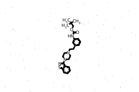 CC(C)(C)COC(=O)Nc1cccc(CCN2CCN(c3nsc4ccccc34)CC2)c1